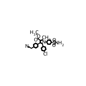 CCOC(=O)c1c(-c2ccc(CC#N)cc2)c(-c2ccc(Cl)cc2)n(-c2ccc(S(N)(=O)=O)cc2)c1C